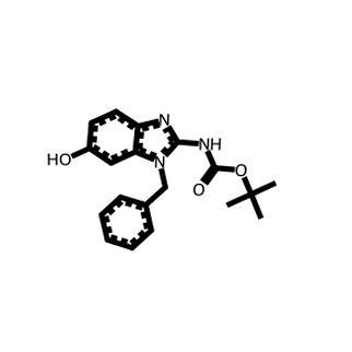 CC(C)(C)OC(=O)Nc1nc2ccc(O)cc2n1Cc1ccccc1